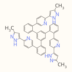 Cc1cc(-c2ccc(-c3ccccc3-c3cc(-c4ccccc4-c4ccc(-c5cc(C)n[nH]5)nc4)cc(-c4ccccc4-c4ccc(-c5cc(C)n[nH]5)nc4)c3)cn2)[nH]n1